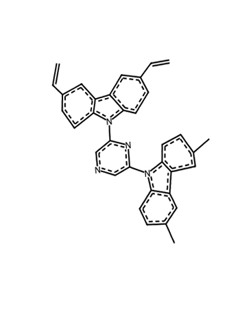 C=Cc1ccc2c(c1)c1cc(C=C)ccc1n2-c1cncc(-n2c3ccc(C)cc3c3cc(C)ccc32)n1